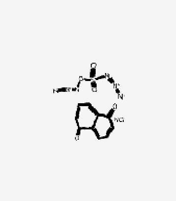 Cl.O=C1C=CC=C2C(=O)C=CC=C12.[N-]=[N+]=NOS(=O)(=O)N=[N+]=[N-]